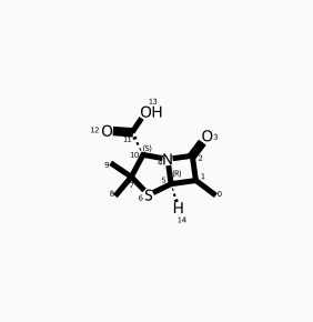 CC1C(=O)N2[C@@H]1SC(C)(C)[C@@H]2C(=O)O